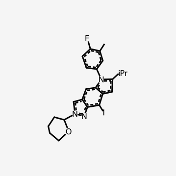 Cc1cc(-n2c(C(C)C)cc3c(I)c4nn(C5CCCCO5)cc4cc32)ccc1F